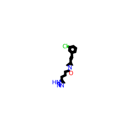 O=C(CCCc1cnn[nH]1)N1CC(C#Cc2cccc(Cl)c2)C1